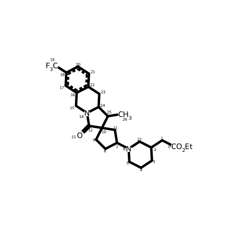 CCOC(=O)CC1CCCN(C2CCC3(C2)C(=O)N2Cc4cc(C(F)(F)F)ccc4CC2C3C)C1